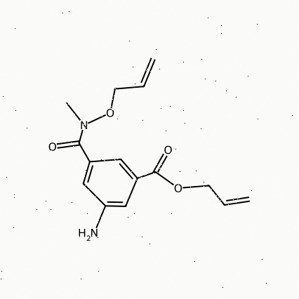 C=CCOC(=O)c1cc(N)cc(C(=O)N(C)OCC=C)c1